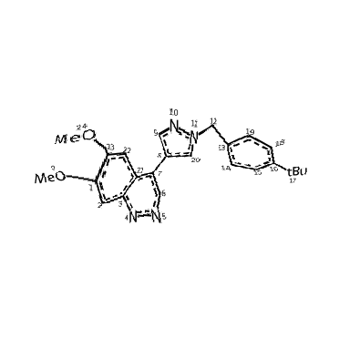 COc1cc2nncc(-c3cnn(Cc4ccc(C(C)(C)C)cc4)c3)c2cc1OC